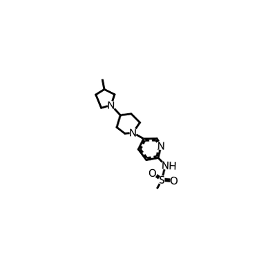 CC1CCN(C2CCN(c3ccc(NS(C)(=O)=O)nc3)CC2)C1